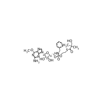 COc1nc(N)nc2c1ncn2[C@@H]1O[C@H](COP(=O)(NCc2ccccc2)OCCSC(=O)C(C)(C)CO)[C@@H](O)C1O